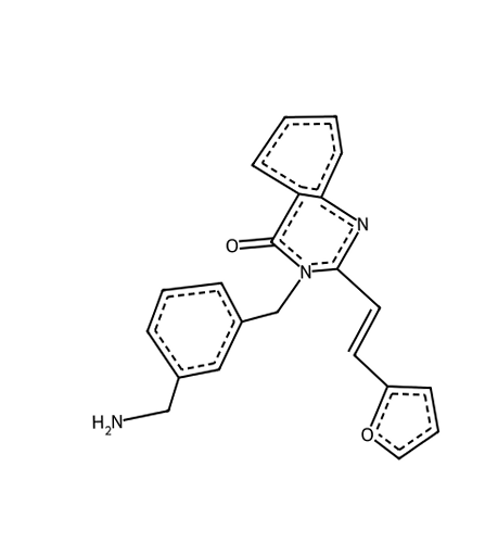 NCc1cccc(Cn2c(C=Cc3ccco3)nc3ccccc3c2=O)c1